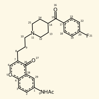 CC(=O)Nc1ccc2occ(CCCN3CCC(C(=O)c4ccc(F)cc4)CC3)c(=O)c2c1